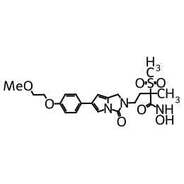 COCCOc1ccc(-c2cc3n(c2)C(=O)N(CCC(C)(C(=O)NO)S(C)(=O)=O)C3)cc1